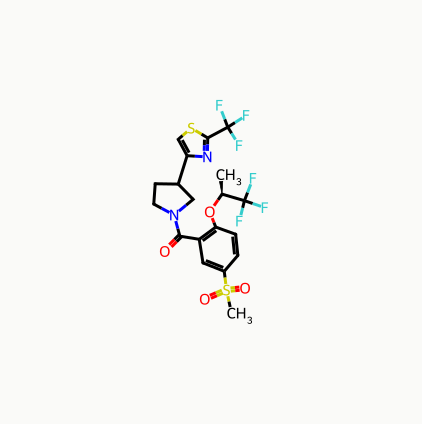 C[C@H](Oc1ccc(S(C)(=O)=O)cc1C(=O)N1CCC(c2csc(C(F)(F)F)n2)C1)C(F)(F)F